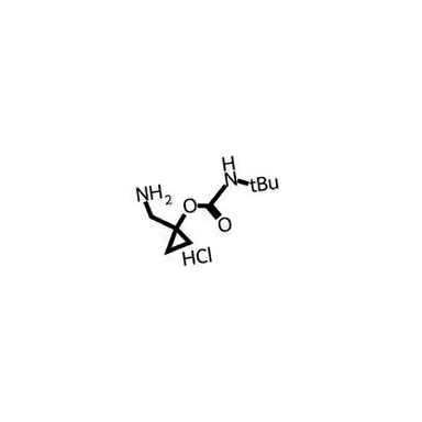 CC(C)(C)NC(=O)OC1(CN)CC1.Cl